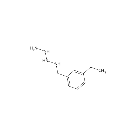 CCc1cccc(CNNNN)c1